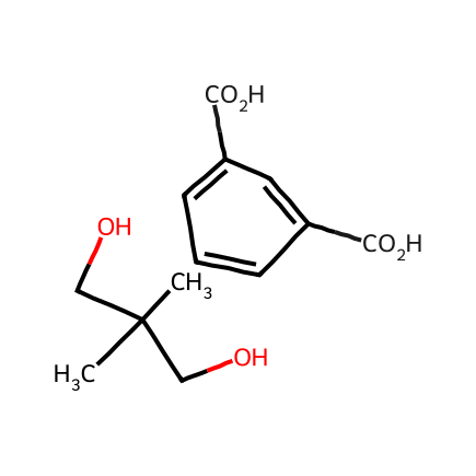 CC(C)(CO)CO.O=C(O)c1cccc(C(=O)O)c1